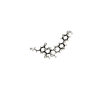 CCc1cc(=O)n2nc(N3CCc4ncc(-c5ccc(C)nc5)cc4C3)c(C)c(C)c2n1